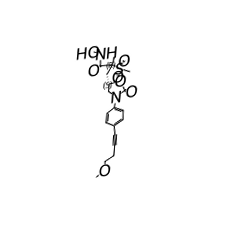 COCCC#Cc1ccc(N2C[C@H](C[C@](C)(C(=O)NO)S(C)(=O)=O)OC2=O)cc1